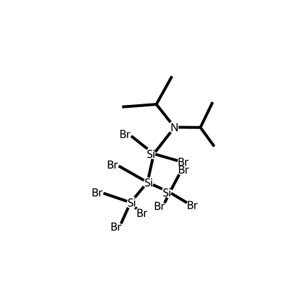 CC(C)N(C(C)C)[Si](Br)(Br)[Si](Br)([Si](Br)(Br)Br)[Si](Br)(Br)Br